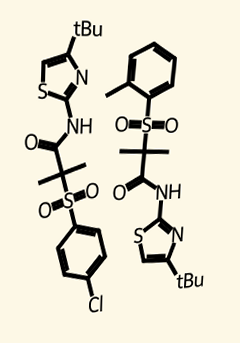 CC(C)(C)c1csc(NC(=O)C(C)(C)S(=O)(=O)c2ccc(Cl)cc2)n1.Cc1ccccc1S(=O)(=O)C(C)(C)C(=O)Nc1nc(C(C)(C)C)cs1